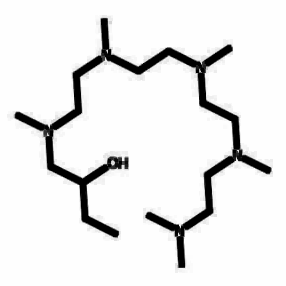 CCC(O)CN(C)CCN(C)CCN(C)CCN(C)CCN(C)C